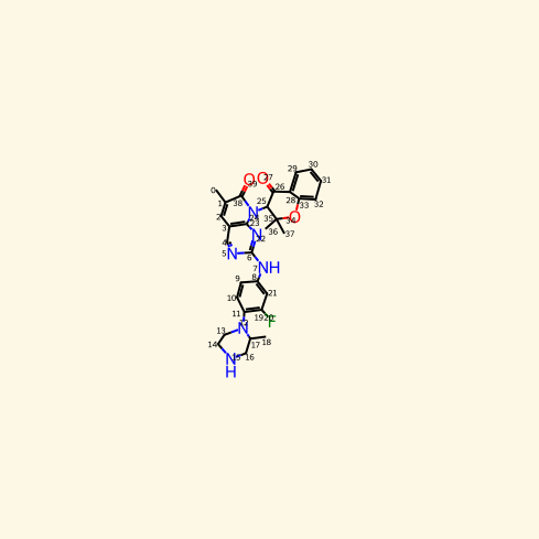 Cc1cc2cnc(Nc3ccc(N4CCNCC4C)c(F)c3)nc2n(C2C(=O)c3ccccc3OC2(C)C)c1=O